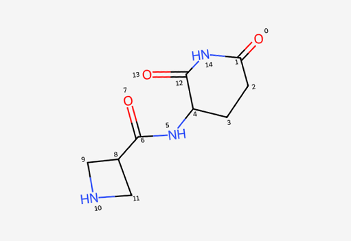 O=C1CCC(NC(=O)C2CNC2)C(=O)N1